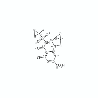 CC1(S(=O)(=O)NC(=O)c2c(Cl)cc(C(=O)O)cc2N2CC3CC3C2)CC1